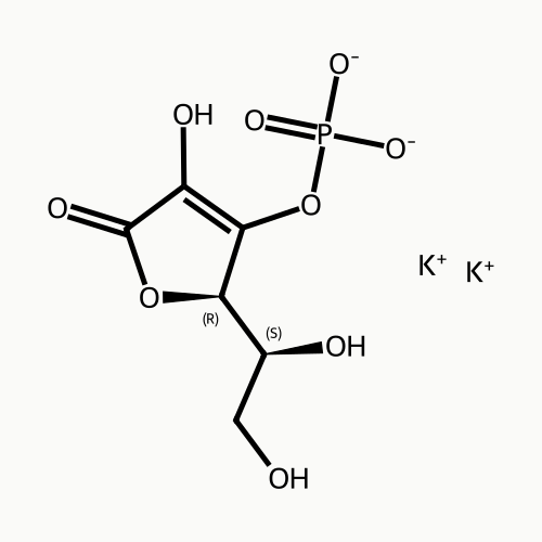 O=C1O[C@H]([C@@H](O)CO)C(OP(=O)([O-])[O-])=C1O.[K+].[K+]